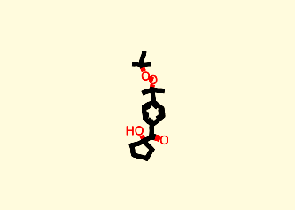 CC(C)(C)OOC(C)(C)c1ccc(C(=O)C2(O)CCCC2)cc1